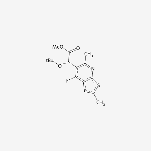 COC(=O)[C@@H](OC(C)(C)C)c1c(C)nc2sc(C)cc2c1I